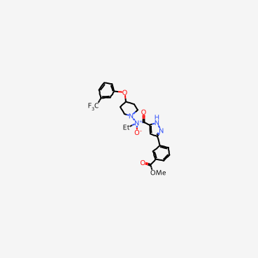 CC[N+]([O-])(C(=O)c1cc(-c2cccc(C(=O)OC)c2)n[nH]1)N1CCC(Oc2cccc(C(F)(F)F)c2)CC1